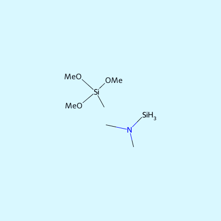 CN(C)[SiH3].CO[Si](C)(OC)OC